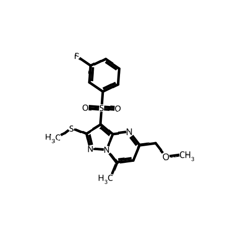 COCc1cc(C)n2nc(SC)c(S(=O)(=O)c3cccc(F)c3)c2n1